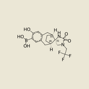 O=S1(=O)N[C@@]2(CN1CC(F)(F)F)[C@@H]1CC[C@H]2Cc2cc(O)c(B(O)O)cc2C1